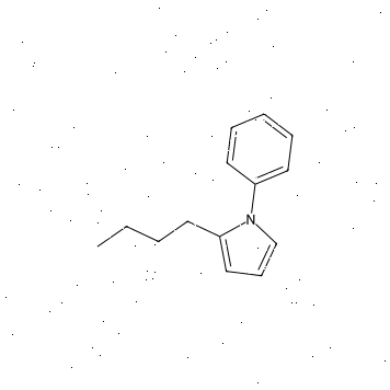 CCCCc1cccn1-c1ccccc1